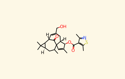 CC1=CC23C(=O)[C@@H](C=C(CO)C[C@@H]2[C@H]1OC(=O)c1c(C)nsc1C)C1[C@@H](CC3C)C1(C)C